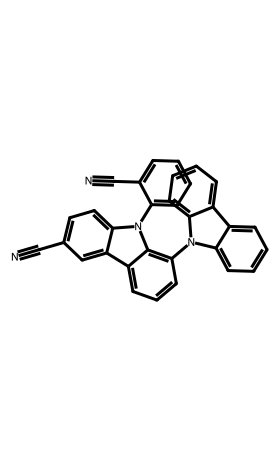 N#Cc1ccc2c(c1)c1cccc(-n3c4ccccc4c4ccccc43)c1n2-c1ccccc1C#N